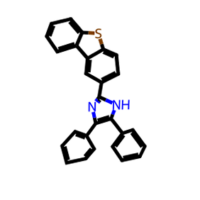 c1ccc(-c2nc(-c3ccc4sc5ccccc5c4c3)[nH]c2-c2ccccc2)cc1